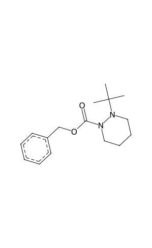 CC(C)(C)N1CCCCN1C(=O)OCc1ccccc1